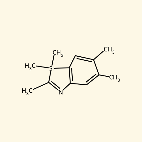 CC1=Nc2cc(C)c(C)cc2[Si]1(C)C